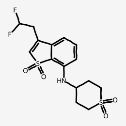 O=S1(=O)CCC(Nc2cccc3c2S(=O)(=O)C=C3CC(F)F)CC1